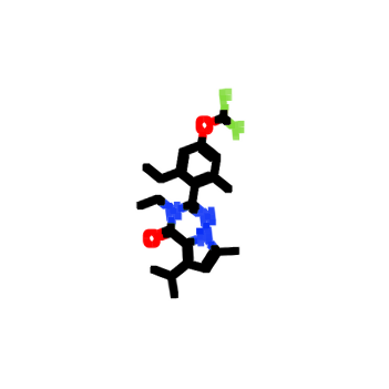 CCc1cc(OC(F)F)cc(C)c1-c1nn2c(C)cc(C(C)C)c2c(=O)n1CC